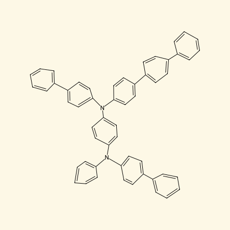 c1ccc(-c2ccc(-c3ccc(N(c4ccc(-c5ccccc5)cc4)c4ccc(N(c5ccccc5)c5ccc(-c6ccccc6)cc5)cc4)cc3)cc2)cc1